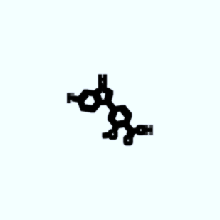 COc1cc(-c2c[nH]c3cc(F)ccc23)ccc1C(=O)O